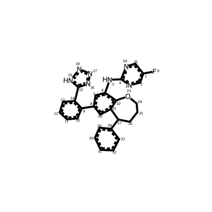 Fc1cnc(Nc2cc(-c3ccccc3-c3nnn[nH]3)cc3c2OCCCC3c2ccccc2)nc1